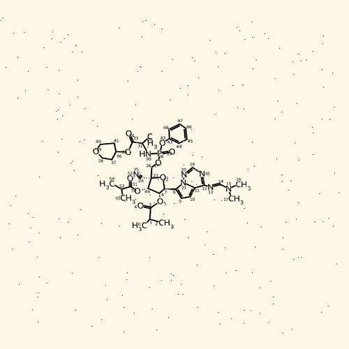 CC(C)C(=O)O[C@H]1[C@H](c2ccc3c(/N=C/N(C)C)ncnn23)O[C@](C#N)(COP(=O)(NC(C)C(=O)OC2CCOCC2)Oc2ccccc2)[C@H]1OC(=O)C(C)C